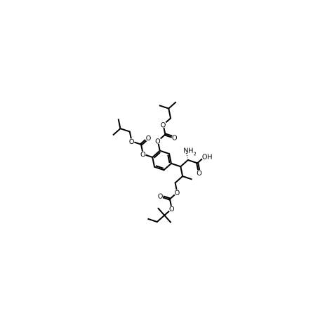 CCC(C)(C)OC(=O)OCC(C)C(c1ccc(OC(=O)OCC(C)C)c(OC(=O)OCC(C)C)c1)[C@H](N)C(=O)O